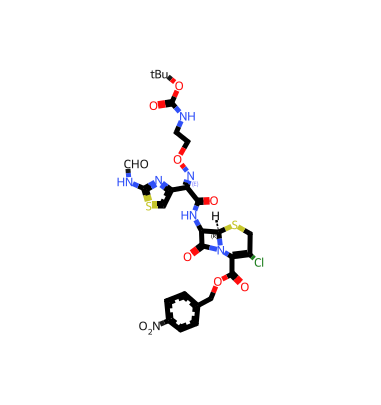 CC(C)(C)OC(=O)NCCO/N=C(/C(=O)NC1C(=O)N2C(C(=O)OCc3ccc([N+](=O)[O-])cc3)=C(Cl)CS[C@H]12)c1csc(NC=O)n1